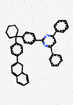 C1=CC2=CC=C(c3ccc(C4(c5ccc(-c6nc(-c7ccccc7)cc(-c7ccccc7)n6)cc5)CCCCC4)cc3)CC2C=C1